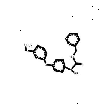 CCCCN(C(=O)NCc1ccccc1)c1ccc(Sc2cccc(CC(=O)O)c2)cc1